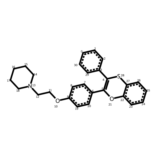 c1ccc(C2=C(c3ccc(OCCN4CCCCC4)cc3)Oc3ccccc3S2)cc1